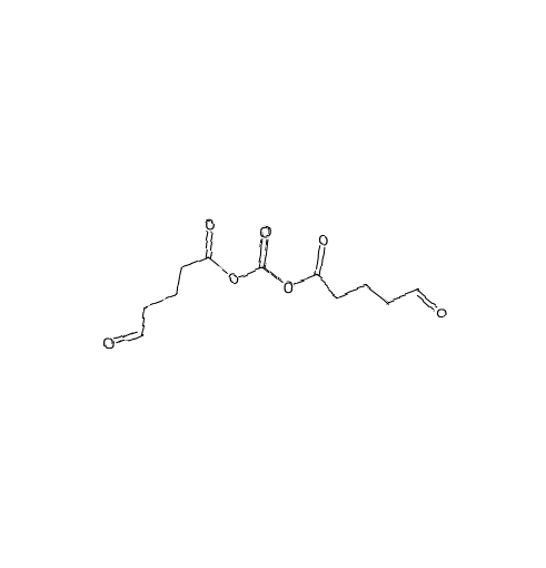 O=CCCCC(=O)OC(=O)OC(=O)CCCC=O